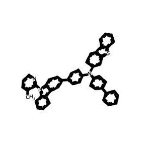 Cc1cccnc1-n1c2ccccc2c2cc(-c3ccc(N(c4ccc(-c5ccccc5)cc4)c4ccc5c(c4)sc4ccccc45)cc3)ccc21